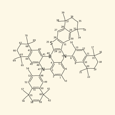 Cc1cc2c3c(c1)N(c1cc4c(cc1C)C(C)(C)CCC4(C)C)c1c(sc4cc5c(cc14)C(C)(C)CCC5(C)C)B3c1cc3c(cc1N2c1cc2c(cc1C)C(C)(C)C=CC2(C)C)C(C)(C)CCC3(C)C